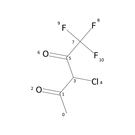 CC(=O)C(Cl)C(=O)C(F)(F)F